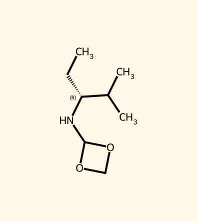 CC[C@@H](NC1OCO1)C(C)C